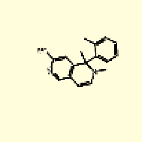 Cc1ccccc1C1(C)c2cc(C(C)C)ncc2C=CN1C